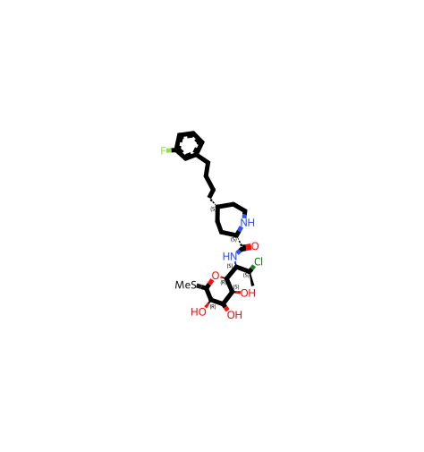 CSC1O[C@H]([C@H](NC(=O)[C@@H]2CC[C@H](CCCCc3cccc(F)c3)CCN2)[C@H](C)Cl)[C@@H](O)C(O)[C@H]1O